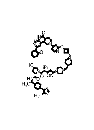 Cc1ncsc1-c1ccc([C@H](C)NC(=O)[C@@H]2C[C@@H](O)CN2C(=O)[C@@H](c2cc(N3CCN(CC4CCN(C[C@H]5C[C@H](Oc6cc(N7CCc8c(c9cc(-c%10ccccc%10O)nnc9[nH]c8=O)C7)ccn6)C5)CC4)CC3)no2)C(C)C)cc1